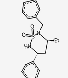 CC[C@H]1C[C@H](c2ccccc2)NS(=O)(=O)N1Cc1ccccc1